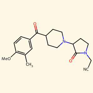 COc1ccc(C(=O)C2CCN(C3CCN(CC#N)C3=O)CC2)cc1C